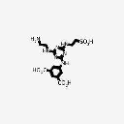 NCCNc1nc(NCCS(=O)(=O)O)nc(Nc2cc(C(=O)O)cc(C(=O)O)c2)n1